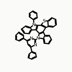 c1ccc(-c2cc(-c3ccccc3)nc(-n3c4ccccc4c4c5c6ccccc6sc5c5c(c6ccccc6n5-c5ccccc5)c43)n2)cc1